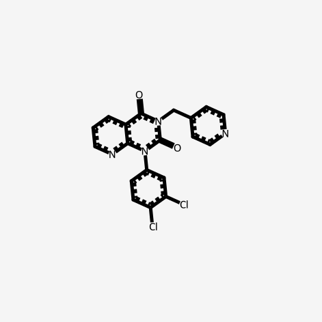 O=c1c2cccnc2n(-c2ccc(Cl)c(Cl)c2)c(=O)n1Cc1ccncc1